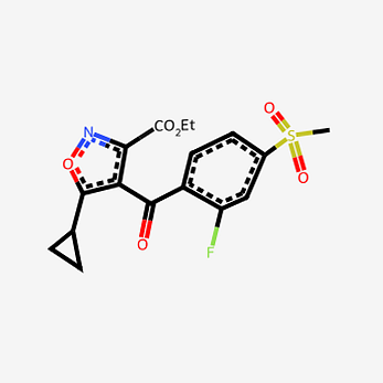 CCOC(=O)c1noc(C2CC2)c1C(=O)c1ccc(S(C)(=O)=O)cc1F